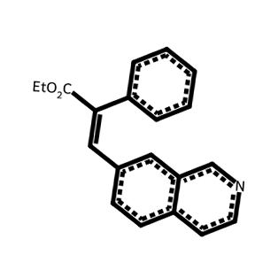 CCOC(=O)C(=Cc1ccc2ccncc2c1)c1ccccc1